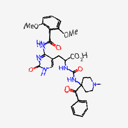 COc1cccc(OC)c1C(=O)Nc1nc(=O)[nH]cc1CC(NC(=O)NC1(C(=O)c2ccccc2)CCN(C)CC1)C(=O)O